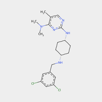 Cc1cnc(N[C@H]2CC[C@@H](NCc3cc(Cl)cc(Cl)c3)CC2)nc1N(C)C